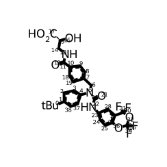 CC(C)(C)c1ccc(N(Cc2ccc(C(=O)NC[C@@H](O)C(=O)O)cc2)C(=O)Nc2ccc3c(c2)C(F)(F)OC(F)(F)O3)cc1